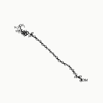 CC(C)CCC[C@@H](C)[C@H]1CC[C@H]2[C@@H]3CC=C4C[C@@H](CCC(=O)NCCOCCOCCOCCOCCOCCOCCOCCOCCOCCOCCOCCOCCOCCOCCOCCOCCOCCOCCOCCNC(=O)CCC(=O)O)CC[C@]4(C)[C@H]3CC[C@]12C